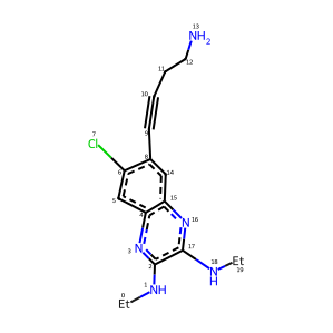 CCNc1nc2cc(Cl)c(C#CCCN)cc2nc1NCC